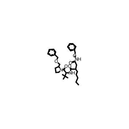 CCCCCC(CC(=O)NOCc1ccccc1)C(=O)NC(C(=O)N1CCCC1COCc1ccccc1)C(C)(C)C